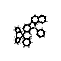 c1ccc(-n2c3c4c(ccc3c3ccc5ccccc5c32)C2(c3ccccc3O4)c3ccccc3-c3ccccc32)cc1